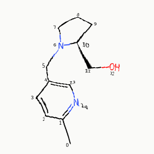 Cc1ccc(CN2CCC[C@H]2CO)cn1